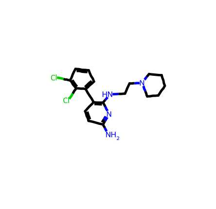 Nc1ccc(-c2cccc(Cl)c2Cl)c(NCCN2CCCCC2)n1